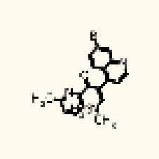 Cc1cccc(C(=O)/C(=C\N(C)C)c2ccnc3cc(Br)ccc23)n1